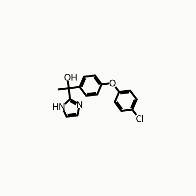 CC(O)(c1ccc(Oc2ccc(Cl)cc2)cc1)c1ncc[nH]1